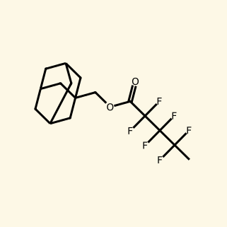 CC(F)(F)C(F)(F)C(F)(F)C(=O)OCC12CC3CC(CC(C3)C1)C2